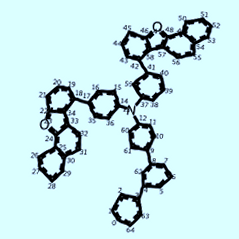 c1ccc(-c2cccc(-c3ccc(N(c4ccc(-c5cccc6oc7c8ccccc8ccc7c56)cc4)c4cccc(-c5cccc6oc7c8ccccc8ccc7c56)c4)cc3)c2)cc1